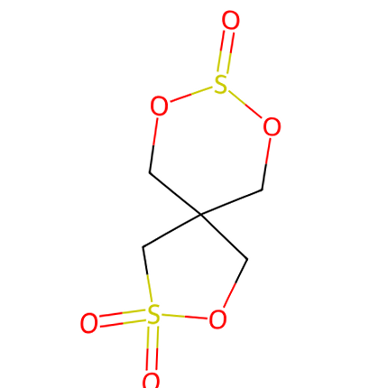 O=S1OCC2(CO1)COS(=O)(=O)C2